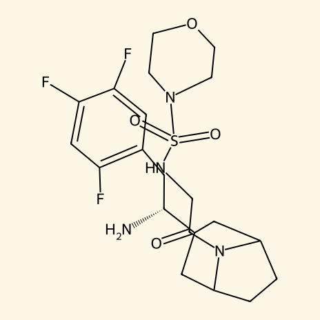 N[C@H](Cc1cc(F)c(F)cc1F)C1CC2CCC(C1)N2C(=O)CNS(=O)(=O)N1CCOCC1